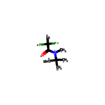 CCC(F)(F)C(=O)N(C)C(C)(C)OC